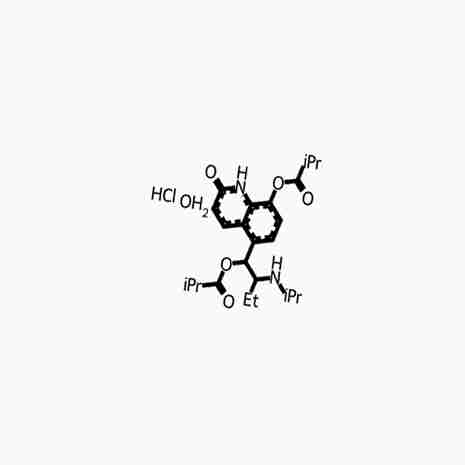 CCC(NC(C)C)C(OC(=O)C(C)C)c1ccc(OC(=O)C(C)C)c2[nH]c(=O)ccc12.Cl.O